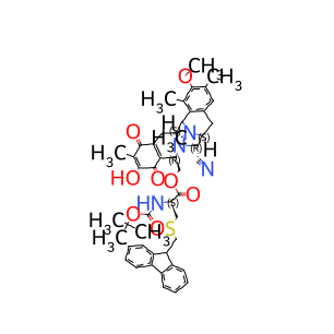 COc1c(C)cc2c(c1C)C1[C@@H]3CC4=C(C(=O)C(O)=C(C)C4=O)[C@H](COC(=O)[C@@H](CSCC4c5ccccc5-c5ccccc54)NC(=O)OC(C)(C)C)N3[C@@H](C#N)[C@H](C2)N1C